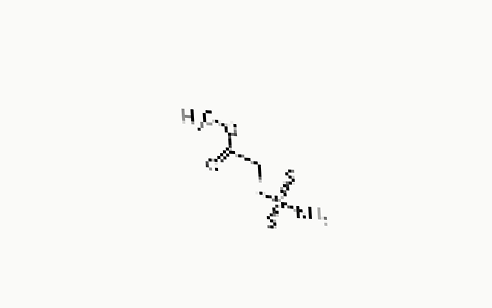 COC(=O)CCS(N)(=S)=S